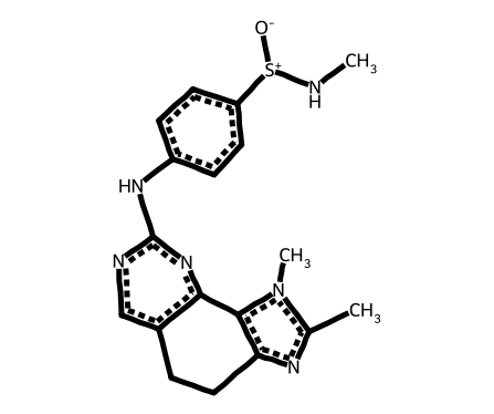 CN[S+]([O-])c1ccc(Nc2ncc3c(n2)-c2c(nc(C)n2C)CC3)cc1